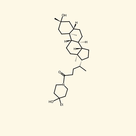 CCC1(O)CCN(C(=O)CCC(C)[C@H]2CC[C@H]3[C@@H]4CC[C@H]5C[C@@](C)(O)CC[C@]5(C)[C@H]4CC[C@]23C)CC1